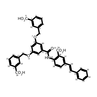 O=C(O)c1cccc(COc2cc(OCc3cccc(C(=O)O)c3)cc(C(=O)Nc3ccc(/C=C/c4ccccc4)cc3C(=O)O)c2)c1